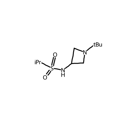 CC(C)S(=O)(=O)NC1CN(C(C)(C)C)C1